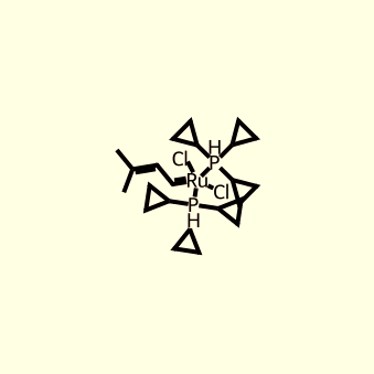 CC(C)=C[CH]=[Ru]([Cl])([Cl])([PH](C1CC1)(C1CC1)C1CC1)[PH](C1CC1)(C1CC1)C1CC1